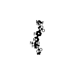 CC(C)(C)OC(=O)N1C[C@@H]2[C@H](C1)[C@@]2(C#N)c1ccc(-c2ccc(N3CC(n4nncc4F)OC3=O)cc2F)cn1